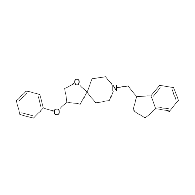 c1ccc(OC2COC3(CCN(CC4CCc5ccccc54)CC3)C2)cc1